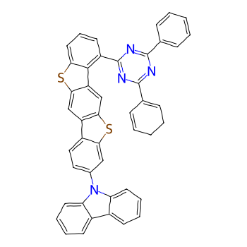 C1=CC(c2nc(-c3ccccc3)nc(-c3cccc4sc5cc6c(cc5c34)sc3cc(-n4c5ccccc5c5ccccc54)ccc36)n2)=CCC1